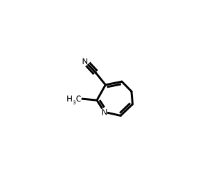 CC1=NC=CCC=C1C#N